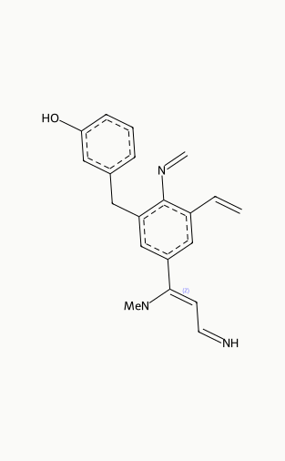 C=Cc1cc(/C(=C/C=N)NC)cc(Cc2cccc(O)c2)c1N=C